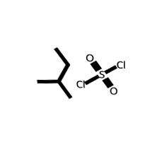 CCC(C)C.O=S(=O)(Cl)Cl